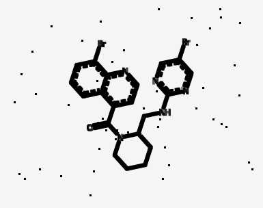 O=C(c1ccnc2c(Br)cccc12)N1CCCCC1CNc1ncc(Br)cn1